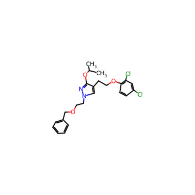 CC(C)Oc1nn(CCOCc2ccccc2)cc1CCOc1ccc(Cl)cc1Cl